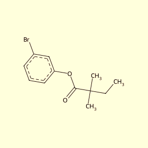 CCC(C)(C)C(=O)Oc1cccc(Br)c1